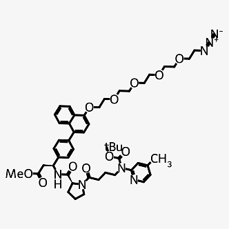 COC(=O)C[C@H](NC(=O)[C@@H]1CCCN1C(=O)CCCN(C(=O)OC(C)(C)C)c1cc(C)ccn1)c1ccc(-c2ccc(OCCOCCOCCOCCOCCN=[N+]=[N-])c3ccccc23)cc1